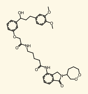 COc1ccc(CCC(O)c2cccc(OCC(=O)NCCCCC(=O)Nc3cccc4c3CN(C3CCCOOC3)C4=O)c2)cc1OC